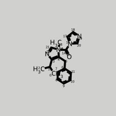 CC(C)C1=C(Cc2ccccc2)[N+](C)(C(=O)n2ccnc2)C=N1